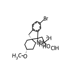 Cl.[2H]C([2H])(O)CC1(N)c2cc(Br)ccc2C[C@]12CC[C@@H](OC)CC2